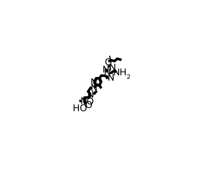 CCC[C@H](C)Oc1nc(N)c2ncc(Cc3cnc(N4CCN(C(=O)CN(C)C(=O)O)CC4)c(C)c3)n2n1